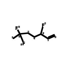 C=CC(F)CCC(C)(F)F